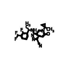 C[C@@H](Nc1nnc(C#N)c2cc(=O)n(C3(C)CC3)cc12)c1cccc(C(F)F)c1F